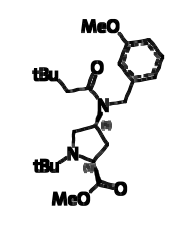 COC(=O)[C@@H]1C[C@H](N(Cc2cccc(OC)c2)C(=O)CC(C)(C)C)CN1C(C)(C)C